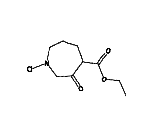 CCOC(=O)C1CCCN(Cl)CC1=O